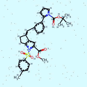 COC(=O)c1cc2c(n1S(=O)(=O)c1ccc(C)cc1)CCC2=Cc1cccc(-c2cccn2C(=O)OC(C)(C)C)c1